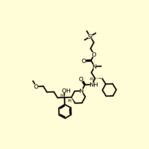 COCCCC[C@@](O)(c1ccccc1)[C@@H]1CCCN(C(=O)N[C@@H](CC2CCCCC2)CN(C)C(=O)OCC[Si](C)(C)C)C1